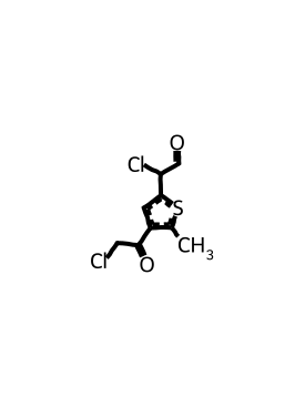 Cc1sc(C(Cl)C=O)cc1C(=O)CCl